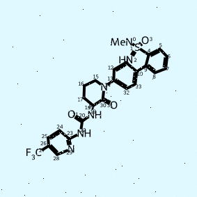 CNS(=N)(=O)c1ccccc1-c1ccc(N2CCC[C@@H](NC(=O)Nc3ccc(C(F)(F)F)cn3)C2=O)cc1